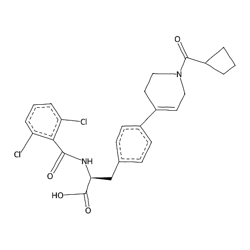 O=C(N[C@@H](Cc1ccc(C2=CCN(C(=O)C3CCC3)CC2)cc1)C(=O)O)c1c(Cl)cccc1Cl